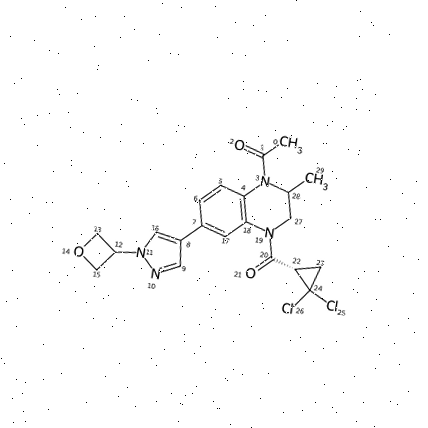 CC(=O)N1c2ccc(-c3cnn(C4COC4)c3)cc2N(C(=O)[C@@H]2CC2(Cl)Cl)CC1C